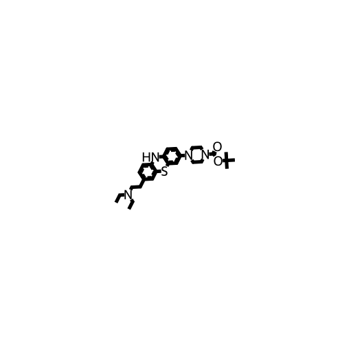 CCN(CC)CCc1ccc2c(c1)Sc1cc(N3CCN(C(=O)OC(C)(C)C)CC3)ccc1N2